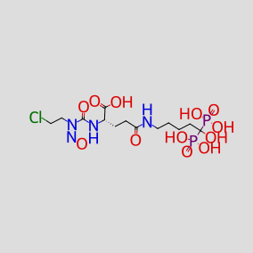 O=NN(CCCl)C(=O)N[C@@H](CCC(=O)NCCCCC(O)(P(=O)(O)O)P(=O)(O)O)C(=O)O